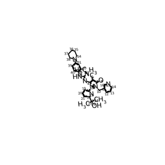 C=N/C(=N\c1c(C)c(=O)n(Cc2cccnc2)n1-c1cccc(C(C)(C)O)n1)Nc1ccc(N2CCCCC2)cc1